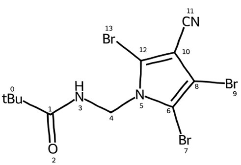 CC(C)(C)C(=O)NCn1c(Br)c(Br)c(C#N)c1Br